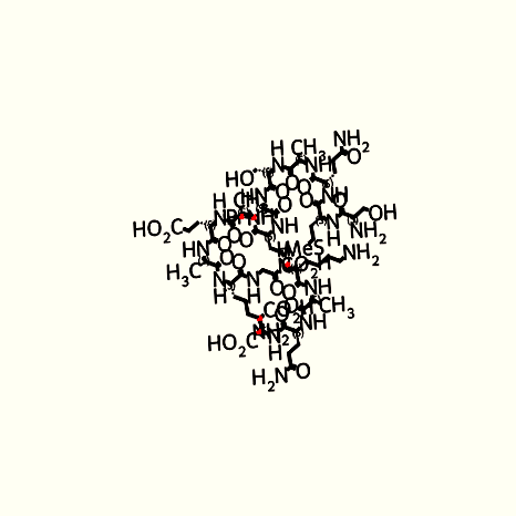 CSCC[C@H](NC(=O)[C@@H](N)CO)C(=O)N[C@@H](CCC(N)=O)C(=O)N[C@@H](C)C(=O)N[C@@H](CO)C(=O)N[C@@H](CC(C)C)C(=O)N[C@@H](CCC(=O)O)C(=O)N[C@@H](C)C(=O)N[C@@H](CCC(=O)O)C(=O)N[C@@H](C)C(=O)N[C@@H](CCCCN)C(=O)NCC(=O)N[C@@H](CCCCN)C(=O)N[C@@H](C)C(=O)N[C@@H](CCC(N)=O)C(=O)N[C@@H](CC(=O)O)C(=O)O